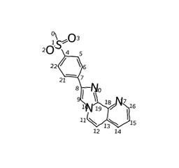 CS(=O)(=O)c1ccc(-c2cn3ccc4cccnc4c3n2)cc1